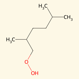 CC(C)CCC(C)COO